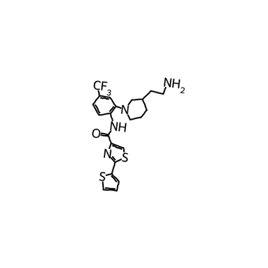 NCCC1CCCN(c2cc(C(F)(F)F)ccc2NC(=O)c2csc(-c3cccs3)n2)C1